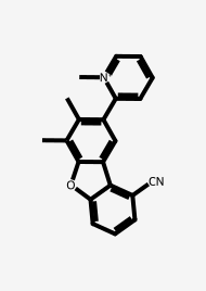 Cc1c(-c2cccc[n+]2C)cc2c(oc3cccc(C#N)c32)c1C